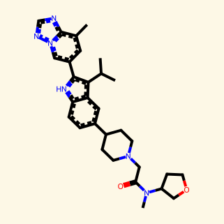 Cc1cc(-c2[nH]c3ccc(C4CCN(CC(=O)N(C)C5CCOC5)CC4)cc3c2C(C)C)cn2ncnc12